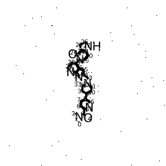 CN(C)C(=O)c1ccc(C2=CCN(Cc3cc4c(-n5ccc6c(c5=O)CCN6)ccnc4n3C)CC2)cn1